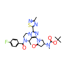 Cc1nsc(-c2nc(N3CC(N(C)C(=O)OC(C)(C)C)CC3=O)c3n2CCN(C(=O)c2ccc(F)cc2)C3C)n1